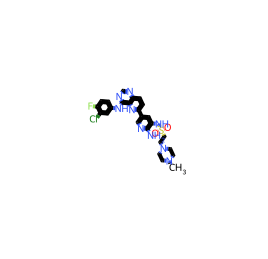 CN1CCN(CCS(=O)(=O)Nc2cc(-c3ccc4ncnc(Nc5ccc(F)c(Cl)c5)c4n3)cnc2N)CC1